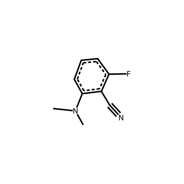 CN(C)c1cccc(F)c1C#N